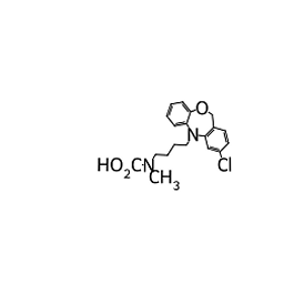 CN(CCCCN1c2cc(Cl)ccc2COc2ccccc21)C(=O)O